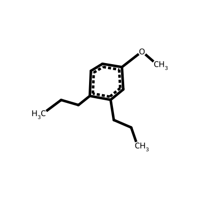 CCCc1ccc(OC)cc1CCC